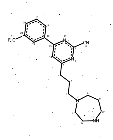 N#Cc1nc(CCCN2CCCNCC2)cc(-c2cccc(C(F)(F)F)c2)n1